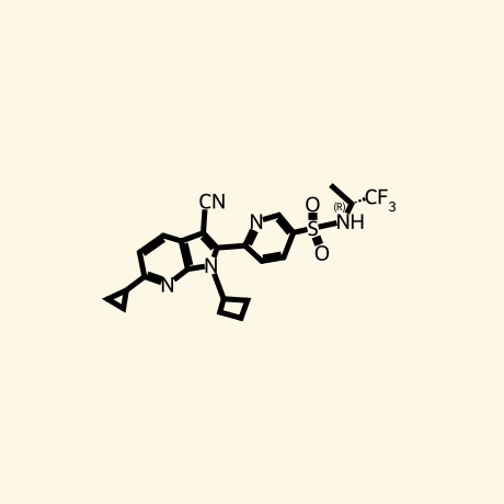 C[C@@H](NS(=O)(=O)c1ccc(-c2c(C#N)c3ccc(C4CC4)nc3n2C2CCC2)nc1)C(F)(F)F